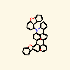 c1ccc(-c2ccc(-c3ccccc3N(c3ccc(-c4cccc5c4oc4ccccc45)cc3)c3cccc4oc5ccccc5c34)cc2)cc1